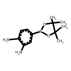 CC1(C)OB(c2ccc(N)c(N)c2)OC1(C)C